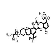 CCS(=O)(=O)c1ccc(Cl)cc1Cn1c(=O)[nH]c2c(Cl)c(CN3CCC[C@H](NC(=O)[C@@H](C)N)C3)c(C(F)(F)F)cc2c1=O